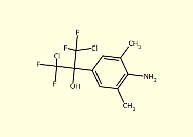 Cc1cc(C(O)(C(F)(F)Cl)C(F)(F)Cl)cc(C)c1N